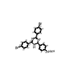 CCCCCCc1ccc(C2N=C(c3ccc(Br)cc3)N=C(c3ccc(Br)cc3)N2)cc1